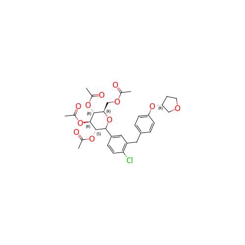 CC(=O)OC[C@H]1OC(c2ccc(Cl)c(Cc3ccc(O[C@@H]4CCOC4)cc3)c2)[C@H](OC(C)=O)[C@@H](OC(C)=O)[C@@H]1OC(C)=O